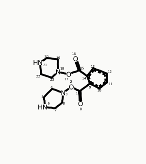 O=C(ON1CCNCC1)c1ccccc1C(=O)ON1CCNCC1